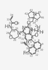 [2H]C([2H])([2H])Oc1c(-c2cccc3ccc(F)c(C#C)c23)ncc2c(N3CCOCC(NC(=O)C=C)C3)nc(OCC34CCCN3CCC4)nc12